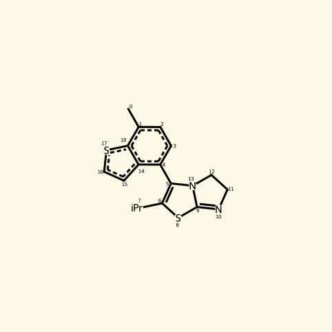 Cc1ccc(C2=C(C(C)C)SC3=NCCN32)c2ccsc12